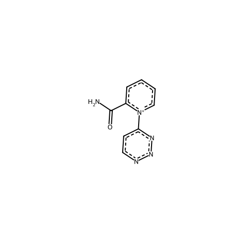 NC(=O)c1cccc[n+]1-c1ccnnn1